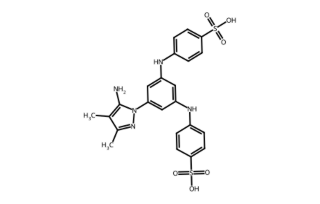 Cc1nn(-c2cc(Nc3ccc(S(=O)(=O)O)cc3)cc(Nc3ccc(S(=O)(=O)O)cc3)c2)c(N)c1C